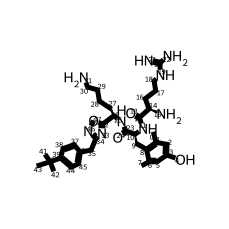 Cc1cc(O)cc(C)c1C[C@H](NC(=O)[C@H](N)CCCNC(=N)N)C(=O)N[C@H](CCCCN)c1nc(Cc2ccc(C(C)(C)C)cc2)no1